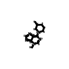 CC1CCCN(c2ncn(C)c3ncnc2-3)C1